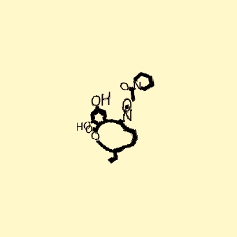 C=C/C1=C\CC/C=C/C(=N/OCC(=O)N2CCCCC2)Cc2cc(O)cc(O)c2C(=O)OCC1